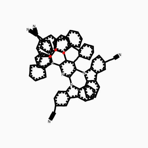 N#Cc1ccc2c(c1)c1ccccc1n2-c1nc(-n2c3ccccc3c3cc(C#N)ccc32)c(-n2c3ccccc3c3cc(C#N)ccc32)c(-c2ccccc2-c2cccc(-c3ccccc3)n2)c1-n1c2ccccc2c2cc(C#N)ccc21